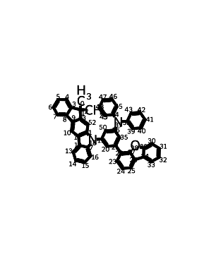 CC1(C)c2ccccc2-c2cc3c4ccccc4n(-c4cc(-c5cccc6c5oc5ccccc56)cc(N(c5ccccc5)c5ccccc5)c4)c3cc21